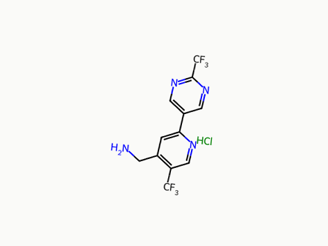 Cl.NCc1cc(-c2cnc(C(F)(F)F)nc2)ncc1C(F)(F)F